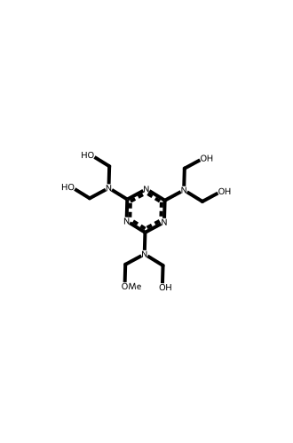 COCN(CO)c1nc(N(CO)CO)nc(N(CO)CO)n1